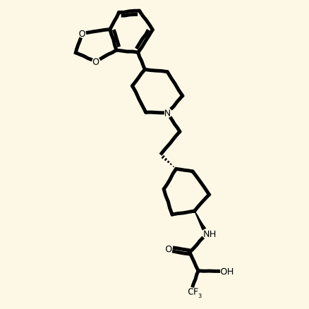 O=C(N[C@H]1CC[C@H](CCN2CCC(c3cccc4c3OCO4)CC2)CC1)C(O)C(F)(F)F